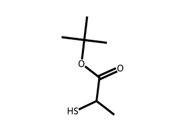 CC(S)C(=O)OC(C)(C)C